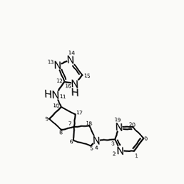 c1cnc(N2CCC3(CCC(Nc4nnc[nH]4)C3)C2)nc1